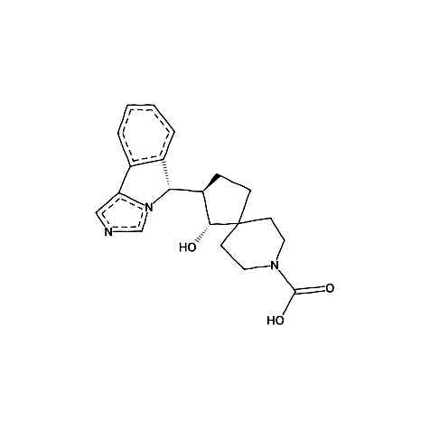 O=C(O)N1CCC2(CC[C@H]([C@H]3c4ccccc4-c4cncn43)[C@H]2O)CC1